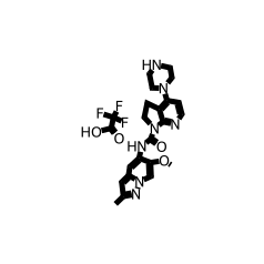 COc1cn2nc(C)cc2cc1NC(=O)N1CCc2c(N3CCNCC3)ccnc21.O=C(O)C(F)(F)F